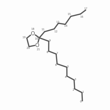 CCCCCCCCCCC1(CCCCCCC)OCCO1